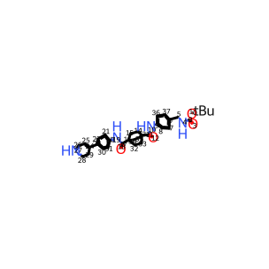 CC(C)(C)OC(=O)NCc1ccc(NC(=O)C23CCC(C(=O)Nc4ccc(C5=CCNCC5)cc4)(CC2)CC3)cc1